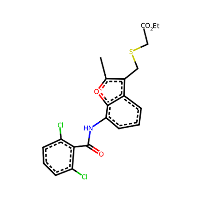 CCOC(=O)CSCc1c(C)oc2c(NC(=O)c3c(Cl)cccc3Cl)cccc12